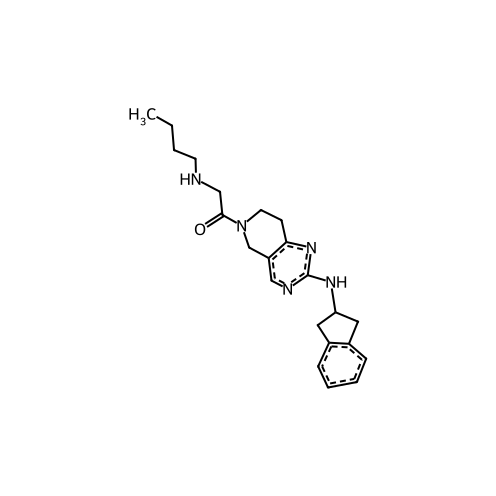 CCCCNCC(=O)N1CCc2nc(NC3Cc4ccccc4C3)ncc2C1